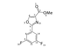 COC(=O)c1coc(-c2cc(F)cc(F)c2)n1